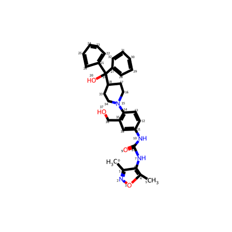 Cc1noc(C)c1NC(=O)Nc1ccc(N2CCC(C(O)(c3ccccc3)c3ccccc3)CC2)c(CO)c1